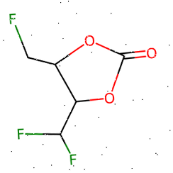 O=C1OC(CF)C(C(F)F)O1